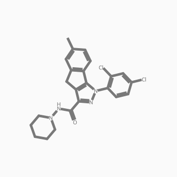 Cc1ccc2c(c1)Cc1c(C(=O)NN3CCCCC3)nn(-c3ccc(Cl)cc3Cl)c1-2